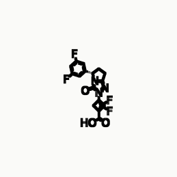 O=C(O)C12CC(n3nc4n(c3=O)[C@H](c3cc(F)cc(F)c3)CC4)(C1)C2(F)F